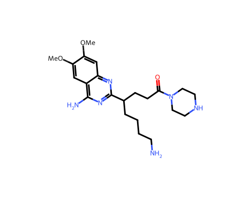 COc1cc2nc(C(CCCCN)CCC(=O)N3CCNCC3)nc(N)c2cc1OC